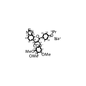 COc1cc(CC(C(=O)c2ccc(OC(C)C)cc2)=C(C(=O)[O-])c2ccc3nsnc3c2)cc(OC)c1OC.[Na+]